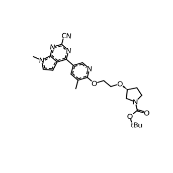 Cc1cc(-c2nc(C#N)nc3c2ccn3C)cnc1OCCO[C@H]1CCN(C(=O)OC(C)(C)C)C1